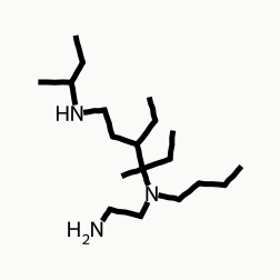 CCCCN(CCN)C(C)(CC)C(CC)CCNC(C)CC